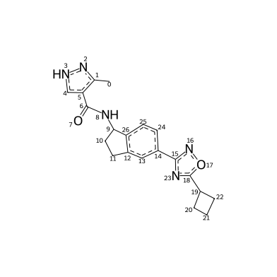 Cc1n[nH]cc1C(=O)NC1CCc2cc(-c3noc(C4CCC4)n3)ccc21